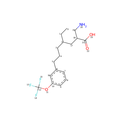 CCC(CCCc1cccc(OC(F)(F)F)c1)CC(CN)C(=O)O